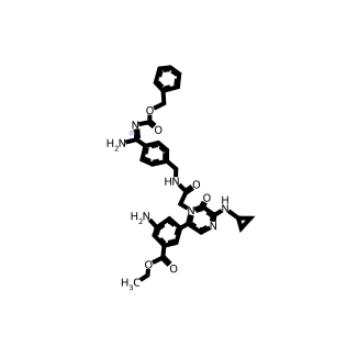 CCOC(=O)c1cc(N)cc(-c2cnc(NC3CC3)c(=O)n2CC(=O)NCc2ccc(/C(N)=N\C(=O)OCc3ccccc3)cc2)c1